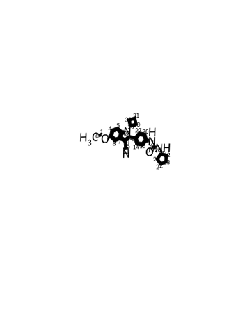 CCOc1ccc2c(c1)c(C#N)c(-c1ccc(NC(=O)NC3CCCC3)cc1)n2C1CCC1